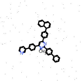 CN1C(c2ccc(-c3cccnc3)cc2)=CC(c2ccc(C3C=CC=C4C=CC=CC43)cc2)=NC1c1ccc(-c2ccccc2)cc1